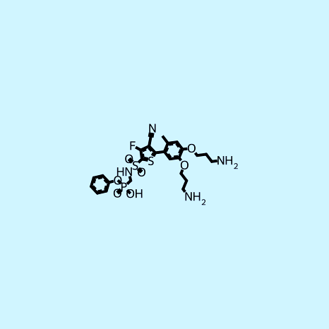 Cc1cc(OCCCN)c(OCCCN)cc1-c1sc(S(=O)(=O)NCP(=O)(O)Oc2ccccc2)c(F)c1C#N